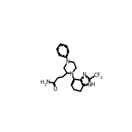 NC(=O)CCC1CN(c2ccccc2)CCN1C1=CCCc2[nH]c(C(F)(F)F)nc21